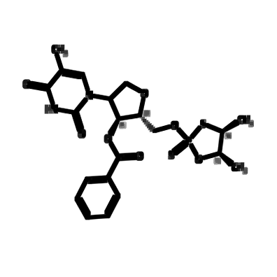 Cc1cn(C2CO[C@H](COP3(=S)O[C@H](C)[C@H](C)S3)[C@H]2OC(=O)c2ccccc2)c(=O)[nH]c1=O